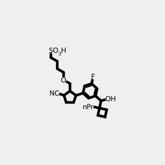 CCCC1(C(O)c2cc(F)cc(C3CCC(C#N)C3COCCCCS(=O)(=O)O)c2)CCC1